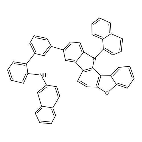 c1cc(-c2ccc3c(c2)c2ccc4oc5ccccc5c4c2n3-c2cccc3ccccc23)cc(-c2ccccc2Nc2ccc3ccccc3c2)c1